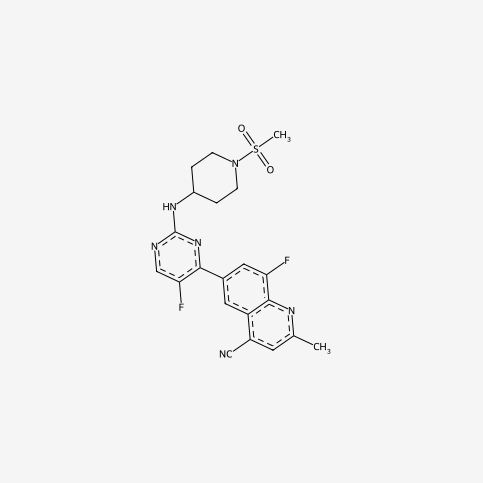 Cc1cc(C#N)c2cc(-c3nc(NC4CCN(S(C)(=O)=O)CC4)ncc3F)cc(F)c2n1